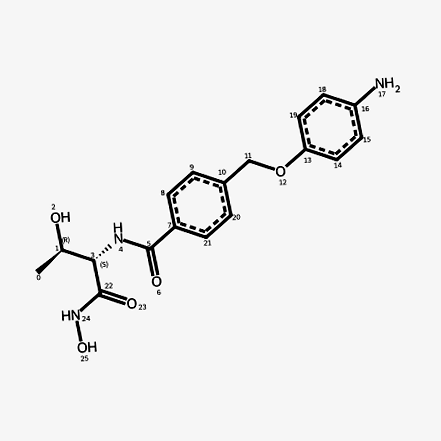 C[C@@H](O)[C@H](NC(=O)c1ccc(COc2ccc(N)cc2)cc1)C(=O)NO